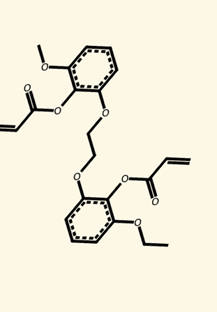 C=CC(=O)Oc1c(OC)cccc1OCCOc1cccc(OCC)c1OC(=O)C=C